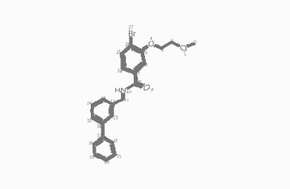 COCCOc1cc(C(=O)NCc2cccc(-c3ccccc3)c2)ccc1Br